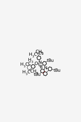 CCC(C)(C)c1ccc(N2C(Oc3ccc4c(c3)C(C)(C)CCC4(C)C)=CB3c4cc(C(C)(C)C)ccc4N(c4ccc(C(C)(C)C)cc4-c4ccccc4)c4cc(C(C)(C)C)cc2c43)cc1